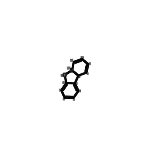 C1=CC2c3ccccc3ON2C=C1